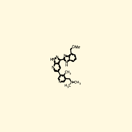 COCc1cccc2[nH]c(-c3n[nH]c4ncc(-c5cncc(CN(C)C)c5C)cc34)nc12